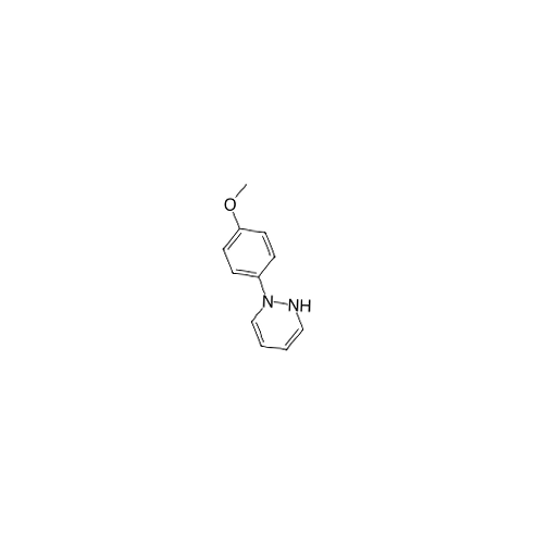 COc1ccc(N2C=CC=CN2)cc1